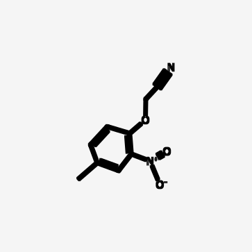 Cc1ccc(OCC#N)c([N+](=O)[O-])c1